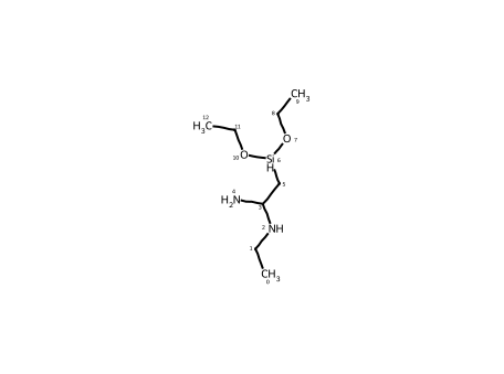 CCNC(N)C[SiH](OCC)OCC